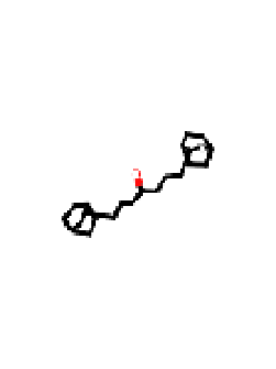 O=C(CCCC1CC2CCC1CC2)CCCC1CC2CCC1CC2